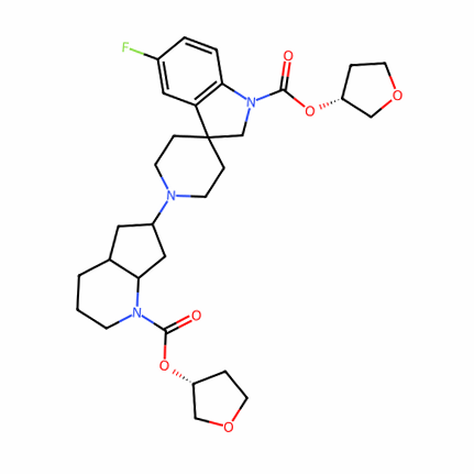 O=C(O[C@@H]1CCOC1)N1CC2(CCN(C3CC4CCCN(C(=O)O[C@@H]5CCOC5)C4C3)CC2)c2cc(F)ccc21